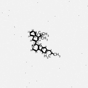 CC(C)Cc1ccc2c(c1)sc1c(-c3cc(C(C)(C)C)c4ccccc4c3)nccc12